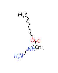 CCCCCCCCOC(=O)C(C)CNCCN